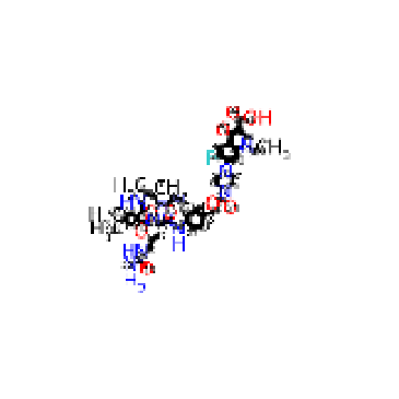 C=C(/C=C\C=C/C)[C@@H](C)NC(=O)C1(C(=O)N[C@@H](CCCNC(N)=O)C(=O)Nc2ccc(COC(=O)N3CCN(c4cc5c(cc4F)c(=O)c(C(=O)O)cn5CC)CC3)cc2)CC(C)(C)C1